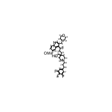 COc1ccc2ncc(CN3CCOCC3)c([C@H](F)CCC3(CO)CCN(CCCc4cc(F)c(F)c(F)c4)CC3)c2c1